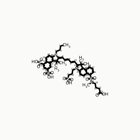 CCCCN1/C(=C/C=C/C=C/C2=[N+](CCCS(=O)(=O)O)c3ccc4c(S(=O)(=O)N(C)CCCC(=O)O)cccc4c3C2(C)C)C(C)(C)c2c1ccc1c(S(=O)(=O)O)cc(S(=O)(=O)O)cc21